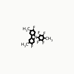 Cc1cc2c3cc(C)c(F)cc3n(-c3c(F)c(F)c(C)c(F)c3F)c2cc1F